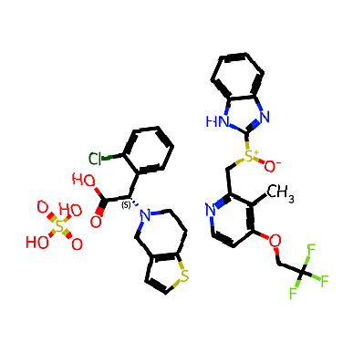 Cc1c(OCC(F)(F)F)ccnc1C[S+]([O-])c1nc2ccccc2[nH]1.O=C(O)[C@H](c1ccccc1Cl)N1CCc2sccc2C1.O=S(=O)(O)O